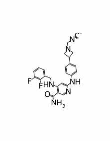 [C-]#[N+]CN1CC(c2ccc(Nc3cc(NCc4cccc(F)c4F)c(C(N)=O)cn3)cc2)C1